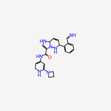 N=Cc1ccccc1C1C=CC2NC=C(C(=O)NC3=CCNC(N4CCC4)=C3)N2N1